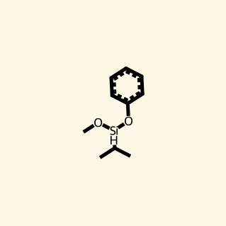 CO[SiH](Oc1ccccc1)C(C)C